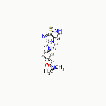 CN(C)C(=O)Cc1cccc(N2CCN(c3cc[nH]c(=S)c3C#N)CC2)c1